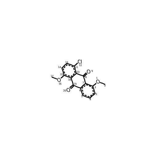 COc1cccc2c1C(=O)c1c(Cl)ccc(OC)c1C2=O